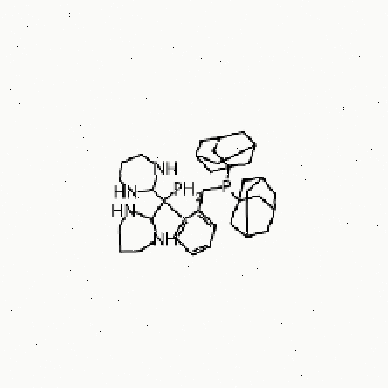 PC(c1ccccc1CP(C12CC3CC(CC(C3)C1)C2)C12CC3CC(CC(C3)C1)C2)(C1NCCCN1)C1NCCCN1